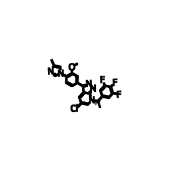 COc1cc(-c2nnc3n([C@H](C)c4cc(F)c(F)c(F)c4)cc(Cl)cc2-3)ccc1-n1cnc(C)c1